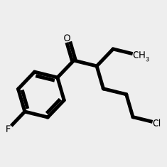 CCC(CCCCl)C(=O)c1ccc(F)cc1